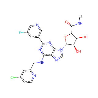 CCNC(=O)[C@H]1O[C@@H](n2cnc3c(NCc4cc(Cl)ccn4)nc(-c4cncc(F)c4)nc32)[C@H](O)[C@@H]1O